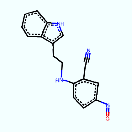 N#Cc1cc(N=O)ccc1NCCc1c[nH]c2ccccc12